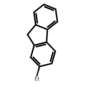 CCc1[c]c2c(cc1)-c1ccccc1C2